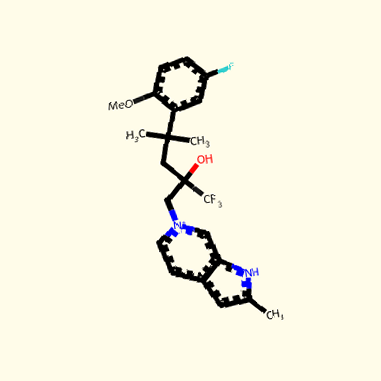 COc1ccc(F)cc1C(C)(C)CC(O)(C[n+]1ccc2cc(C)[nH]c2c1)C(F)(F)F